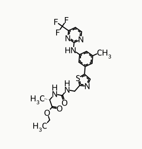 CCOC(=O)[C@H](C)NC(=O)NCc1ncc(-c2cc(C)cc(Nc3nccc(C(F)(F)F)n3)c2)s1